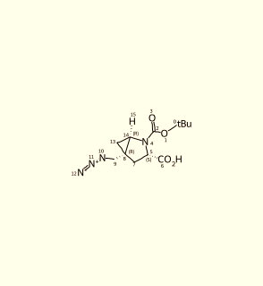 CC(C)(C)OC(=O)N1[C@H](C(=O)O)C[C@@]2(CN=[N+]=[N-])C[C@@H]12